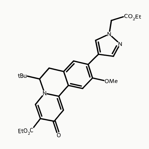 CCOC(=O)Cn1cc(-c2cc3c(cc2OC)-c2cc(=O)c(C(=O)OCC)cn2C(C(C)(C)C)C3)cn1